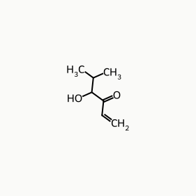 C=CC(=O)C(O)C(C)C